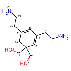 NCCC1=CC(CO)(CO)CC(CCN)=C1